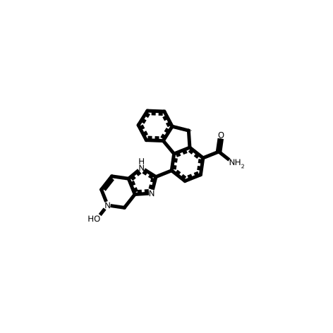 NC(=O)c1ccc(-c2nc3c([nH]2)C=CN(O)C3)c2c1[CH]c1ccccc1-2